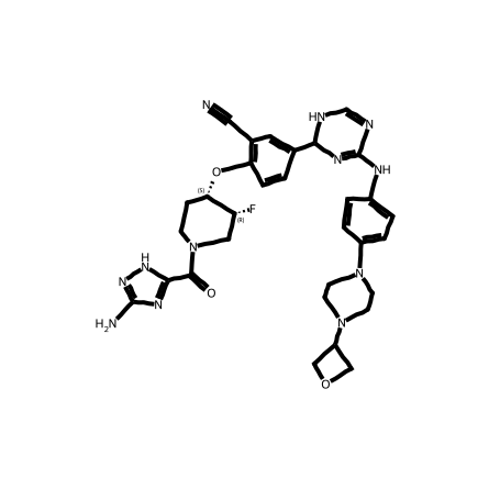 N#Cc1cc(C2N=C(Nc3ccc(N4CCN(C5COC5)CC4)cc3)N=CN2)ccc1O[C@H]1CCN(C(=O)c2nc(N)n[nH]2)C[C@H]1F